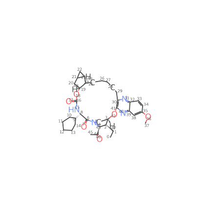 CC[C@@H]1[C@@H]2CN(C(=O)[C@H](C3CCCCC3)NC(=O)O[C@@H]3CC4CC4[C@H]3CCCCCc3nc4ccc(OC)cc4nc3O2)[C@@H]1C(C)=O